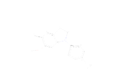 CCCCCCOc1cc2c(cc1C)CCN2c1ccc(OC)cc1